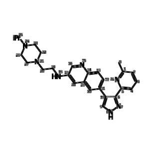 Cc1cccc(-c2n[nH]cc2-c2ccc3ncc(NCCN4CCN(C(C)C)CC4)cc3c2)n1